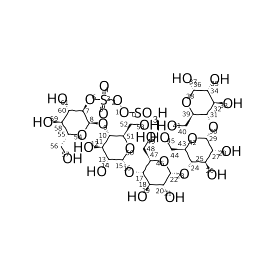 O=S(=O)(O)OOS(=O)(=O)O[C@H]1[C@@H](O[C@H]2[C@H](O)[C@@H](O)[C@@H](O[C@H]3[C@H](O)[C@@H](O)[C@@H](O[C@H]4[C@H](O)[C@@H](O)[C@@H](O[C@H]5[C@H](O)[C@@H](O)[C@@H](O)O[C@@H]5CO)O[C@@H]4CO)O[C@@H]3CO)O[C@@H]2CO)O[C@H](CO)[C@@H](O)[C@@H]1O